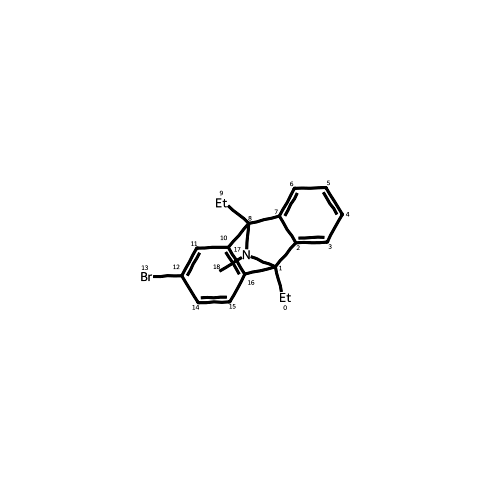 CCC12c3ccccc3C(CC)(c3cc(Br)ccc31)N2C